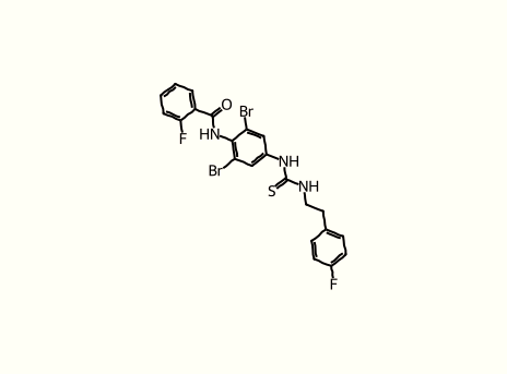 O=C(Nc1c(Br)cc(NC(=S)NCCc2ccc(F)cc2)cc1Br)c1ccccc1F